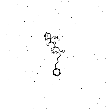 N[C@@]1(C(=O)OC(=O)CP(=O)(O)CCCCc2ccccc2)CCCN1